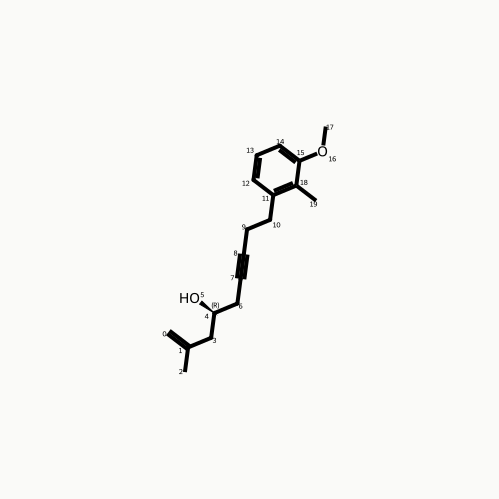 C=C(C)C[C@@H](O)CC#CCCc1cccc(OC)c1C